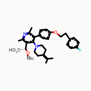 CC(C)=C1CCN(c2c(-c3ccc(OCCc4ccc(F)cc4)cc3)c(C)nc(C)c2[C@H](OC(C)(C)C)C(=O)O)CC1